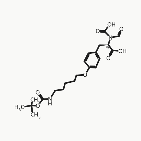 CC(C)(C)OC(=O)NCCCCCOc1ccc(C[C@H](C(=O)O)N(C=O)C(=O)O)cc1